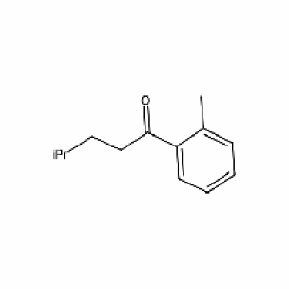 Cc1ccccc1C(=O)CCC(C)C